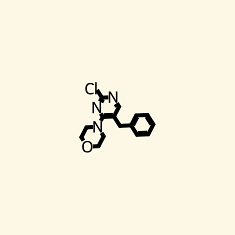 Clc1ncc(Cc2ccccc2)c(N2CCOCC2)n1